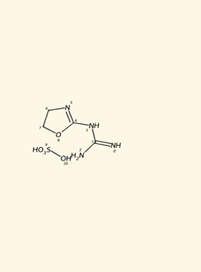 N=C(N)NC1=NCCO1.O=S(=O)(O)O